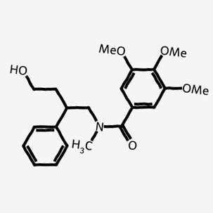 COc1cc(C(=O)N(C)CC(CCO)c2ccccc2)cc(OC)c1OC